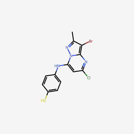 Cc1nn2c(Nc3ccc(S)cc3)cc(Cl)nc2c1Br